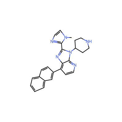 Cn1ccnc1-c1nc2c(-c3ccc4ccccc4c3)ccnc2n1C1CCNCC1